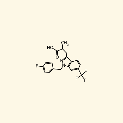 CC(Cc1nn(Cc2ccc(F)cc2)c2cc(C(F)(F)F)ccc12)C(=O)O